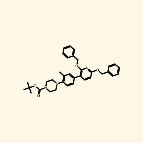 Cc1cc(-c2ccc(OCc3ccccc3)nc2OCc2ccccc2)ccc1N1CCN(C(=O)OC(C)(C)C)CC1